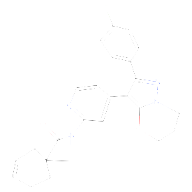 CC1(C(=O)Nc2cc(-c3c(-c4ccc(F)cc4)nn4c3OCCC4)ccn2)CC=CCC1